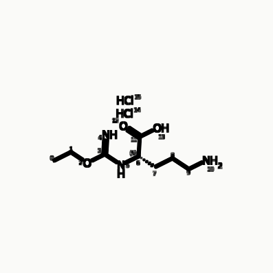 CCOC(=N)N[C@@H](CCCN)C(=O)O.Cl.Cl